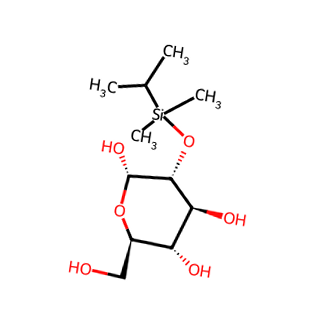 CC(C)[Si](C)(C)O[C@@H]1[C@@H](O)[C@H](O)[C@@H](CO)O[C@@H]1O